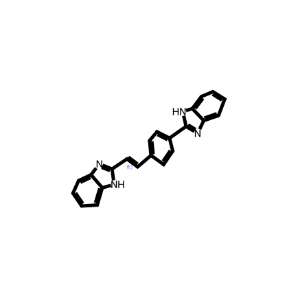 C(=C\c1nc2ccccc2[nH]1)/c1ccc(-c2nc3ccccc3[nH]2)cc1